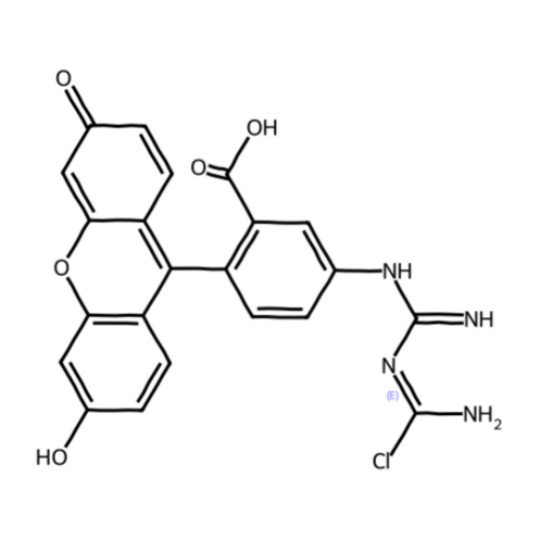 N=C(/N=C(\N)Cl)Nc1ccc(-c2c3ccc(=O)cc-3oc3cc(O)ccc23)c(C(=O)O)c1